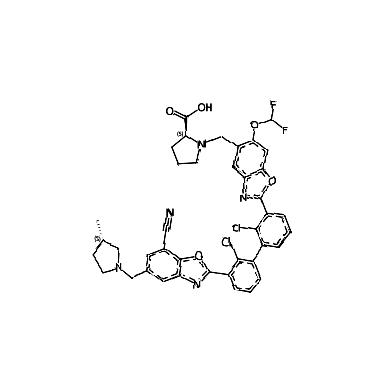 C[C@H]1CCN(Cc2cc(C#N)c3oc(-c4cccc(-c5cccc(-c6nc7cc(CN8CCC[C@H]8C(=O)O)c(OC(F)F)cc7o6)c5Cl)c4Cl)nc3c2)C1